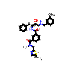 COc1cccc(CNC[C@@H](O)[C@H](Cc2ccccc2)NC(=O)c2cccc(C(=O)N(C)Cc3ncc(C)s3)c2)c1